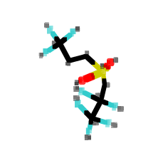 O=S(=O)(CCC(F)(F)F)CC(F)(F)C(F)(F)F